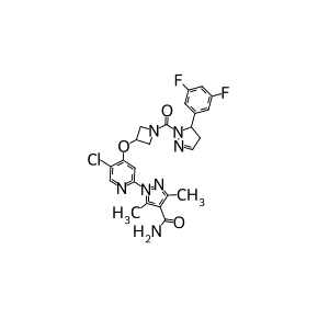 Cc1nn(-c2cc(OC3CN(C(=O)N4N=CCC4c4cc(F)cc(F)c4)C3)c(Cl)cn2)c(C)c1C(N)=O